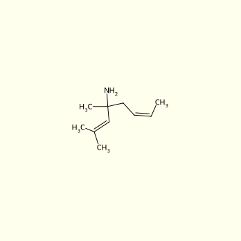 C/C=C\CC(C)(N)C=C(C)C